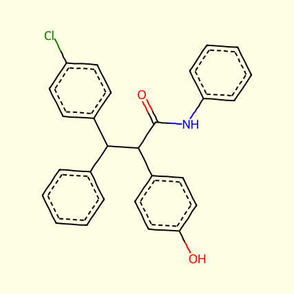 O=C(Nc1ccccc1)C(c1ccc(O)cc1)C(c1ccccc1)c1ccc(Cl)cc1